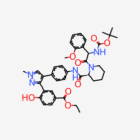 CCOC(=O)c1ccc(O)c(-c2nn(C)cc2-c2ccc(NC(=O)[C@@H]3CCCCN3C(=O)[C@H](NC(=O)OC(C)(C)C)c3ccccc3OC)cc2)c1